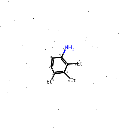 CCc1ccc(N)c(CC)c1CC